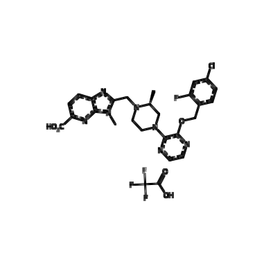 C[C@H]1CN(c2nccnc2OCc2ccc(Cl)cc2F)CCN1Cc1nc2ccc(C(=O)O)nc2n1C.O=C(O)C(F)(F)F